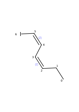 CC/C=C\C=C/I